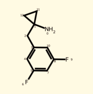 NC1(Cc2cc(F)cc(F)c2)CC1